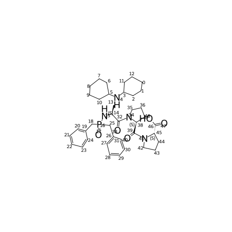 C1CCC(NC2CCCCC2)CC1.C[C@H](NP(=O)(Cc1ccccc1)Cc1ccccc1)C(=O)N1CCC[C@H]1C(=O)N1CCC[C@H]1C(=O)O